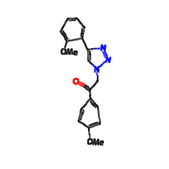 COc1ccc(C(=O)Cn2cc(-c3ccccc3OC)nn2)cc1